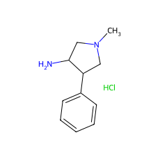 CN1CC(N)C(c2ccccc2)C1.Cl